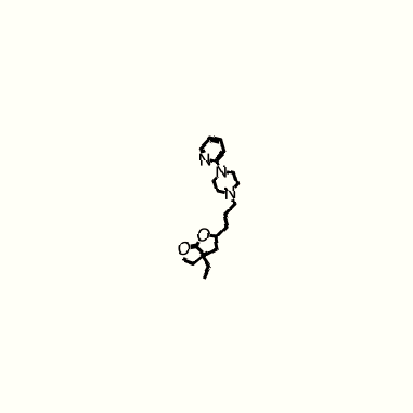 CCC1(CC)CC(CCCN2CCN(c3ccccn3)CC2)OC1=O